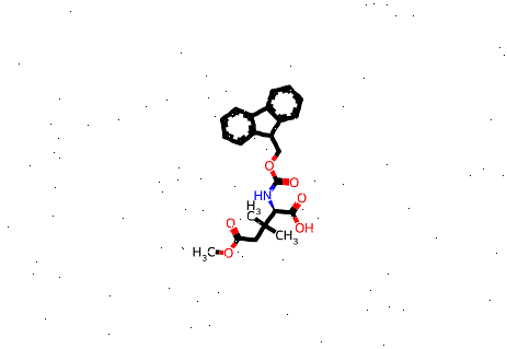 COC(=O)CC(C)(C)[C@@H](NC(=O)OCC1c2ccccc2-c2ccccc21)C(=O)O